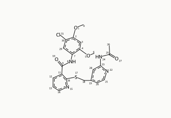 COc1cc(OC)c(NC(=O)c2cccnc2SCc2ccnc(NC(C)=O)c2)cc1Cl